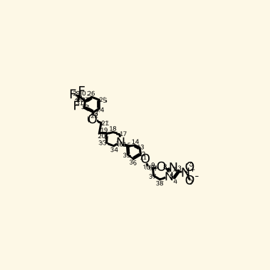 O=[N+]([O-])c1cn2c(n1)O[C@@H](COc1ccc(N3CCC(CCOc4cccc(C(F)(F)F)c4)CC3)cc1)CC2